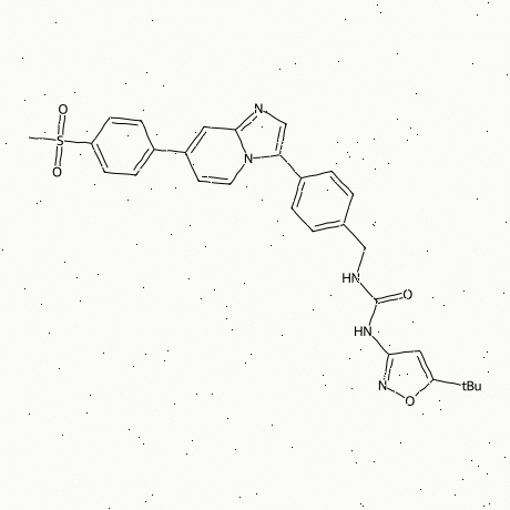 CC(C)(C)c1cc(NC(=O)NCc2ccc(-c3cnc4cc(-c5ccc(S(C)(=O)=O)cc5)ccn34)cc2)no1